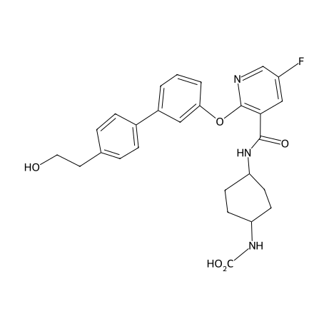 O=C(O)NC1CCC(NC(=O)c2cc(F)cnc2Oc2cccc(-c3ccc(CCO)cc3)c2)CC1